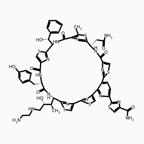 Cc1sc2nc1C(=O)N[C@@H]([C@H](O)c1ccccc1)c1nc(cs1)C(=O)N[C@@H](Cc1ccc(O)cc1)C(=O)N[C@@H]([C@@H](C)[C@@H](O)CNCCN)c1nc(cs1)-c1nc(cs1)-c1nc(-c3nc(C(N)=O)cs3)ccc1-c1nc(cs1)C(=O)N[C@H]2CC(N)=O